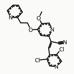 COc1cnc(C(C#N)=Cc2c(Cl)cncc2Cl)cc1OCCc1ccccn1